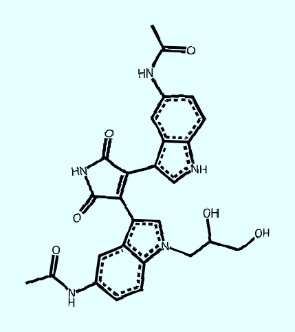 CC(=O)Nc1ccc2[nH]cc(C3=C(c4cn(CC(O)CO)c5ccc(NC(C)=O)cc45)C(=O)NC3=O)c2c1